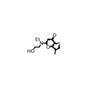 CCN(CCO)c1cc(=O)c2scc(C)c2o1